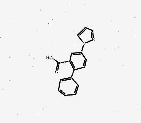 NC(=O)c1cc(-n2cccn2)ccc1-c1ccccc1